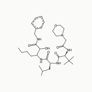 CCCCC(NC(=O)[C@H](CC(C)C)NC(=O)[C@@H](NC(=O)CN1CCOCC1)C(C)(C)C)C(O)C(=O)NCc1ccccc1